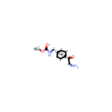 CC(C)(C)OC(=O)NC[C@]12CC[C@](C(=O)CN)(CC1)CC2